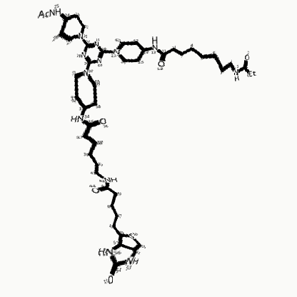 CCC(=O)NCCCCCCCC(=O)NC1CCN(c2nc(N3CCC(NC(C)=O)CC3)nc(N3CCC(NC(=O)CCCCCNC(=O)CCCCC4SCC5NC(=O)NC54)CC3)n2)CC1